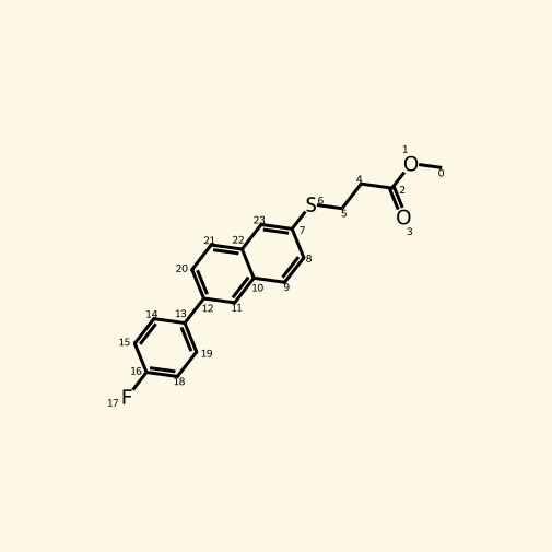 COC(=O)CCSc1ccc2cc(-c3ccc(F)cc3)ccc2c1